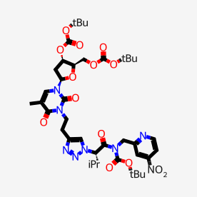 Cc1cn([C@H]2C[C@H](OC(=O)OC(C)(C)C)[C@@H](COC(=O)OC(C)(C)C)O2)c(=O)n(CCc2cn([C@H](C(=O)N(Cc3cc([N+](=O)[O-])ccn3)C(=O)OC(C)(C)C)C(C)C)nn2)c1=O